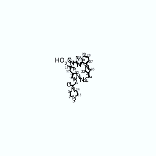 CN1CCN(C(=O)Cn2cc(CC(C)(C)N(C(=O)O)c3nc4c(N5CC(=CC#N)C5)cccn4n3)cn2)CC1